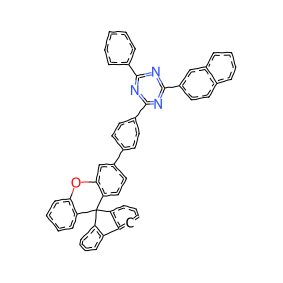 c1ccc(-c2nc(-c3ccc(-c4ccc5c(c4)Oc4ccccc4C54c5ccccc5-c5ccccc54)cc3)nc(-c3ccc4ccccc4c3)n2)cc1